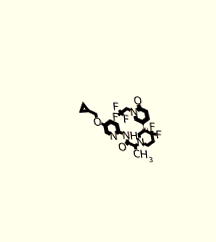 CC(C(=O)Nc1ccc(OCC2CC2)cn1)N1CCC(F)(F)[C@@H](c2ccc(=O)n(CC(F)(F)F)c2)C1